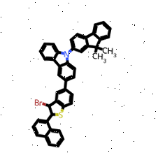 CC1(C)c2ccccc2-c2ccc(-n3c4ccccc4c4cc(-c5ccc6c(c5)C(Br)C(c5cccc7ccccc57)S6)ccc43)cc21